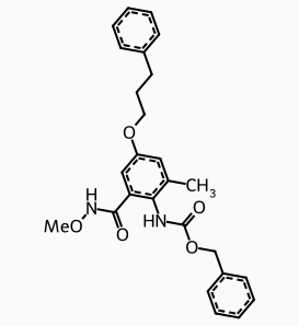 CONC(=O)c1cc(OCCCc2ccccc2)cc(C)c1NC(=O)OCc1ccccc1